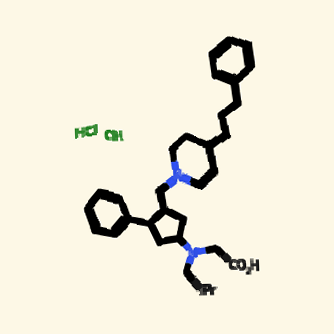 CC(C)CN(CC(=O)O)C1CC(CN2CCC(CCCc3ccccc3)CC2)C(c2ccccc2)C1.Cl.Cl